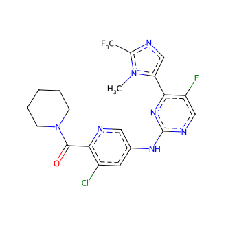 Cn1c(-c2nc(Nc3cnc(C(=O)N4CCCCC4)c(Cl)c3)ncc2F)cnc1C(F)(F)F